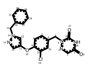 O=c1cnn(Cc2ccc(Oc3cnn(Cc4ccccc4)c3)c(Cl)c2)c(=O)[nH]1